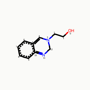 OCCN1C=c2ccccc2=NC1